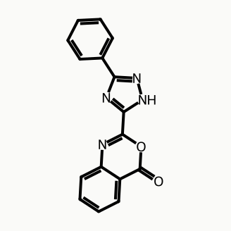 O=c1oc(-c2nc(-c3ccccc3)n[nH]2)nc2ccccc12